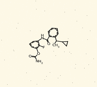 CC(c1ccccc1C(=O)Nc1cccc(OC(N)=O)c1F)C1CC1